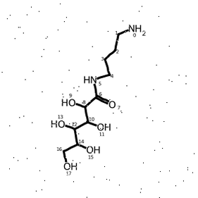 NCCCCNC(=O)C(O)C(O)C(O)C(O)CO